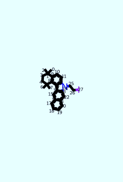 CC1(C)CCC(C)(C)c2c1ccc1c2c2cc3ccccc3cc2n1CCI